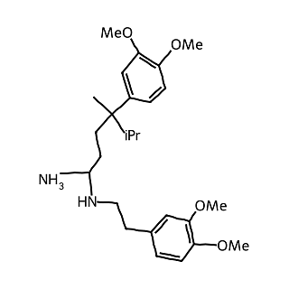 COc1ccc(CCNC(C)CCC(C)(c2ccc(OC)c(OC)c2)C(C)C)cc1OC.N